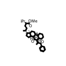 COC(=O)C(CCC(C)[C@H]1CC[C@H]2[C@@H]3C(=O)C(=C(C)C(=O)c4ccccc4)[C@@H]4CCCC[C@]4(C)[C@H]3CC[C@]12C)C(C)C